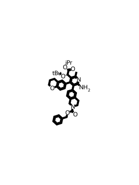 Cc1nc(N)c(-c2ccc3c(c2)CCN(C(=O)OCc2ccccc2)C3)c(-c2ccc3c(c2)CCCO3)c1[C@H](OC(C)(C)C)C(=O)OC(C)C